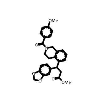 COC(=O)CC(c1ccc2c(c1)OCO2)c1cccc2c1CCN(C(=O)c1ccc(OC)cc1)C2